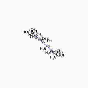 CC1=C[C@H](O)CC(C)(C)[C@H]1/C=C/C(C)=C/C=C/C(C)=C/C=C/C=C(C)/C=C/C=C(C)/C=C/C1=C(C)C[C@@H](O)CC1(C)C.CCO